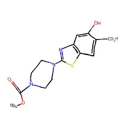 CC(C)(C)OC(=O)N1CCN(c2nc3cc(O)c(C(=O)O)cc3s2)CC1